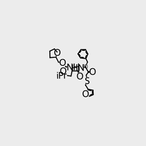 CC(C)CC(NC(=O)OCC1CCCO1)C(=O)N[C@@H](Cc1ccccc1)C(=O)CSCc1ccco1